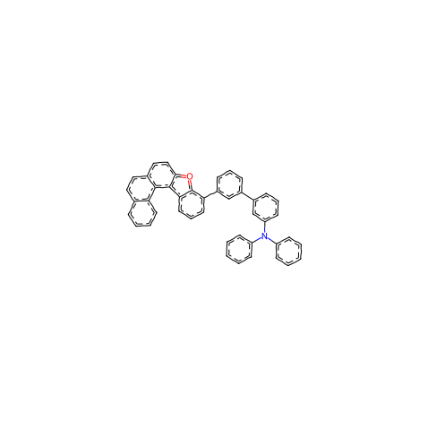 c1ccc(N(c2ccccc2)c2cccc(-c3cccc(-c4cccc5c4oc4ccc6ccc7ccccc7c6c45)c3)c2)cc1